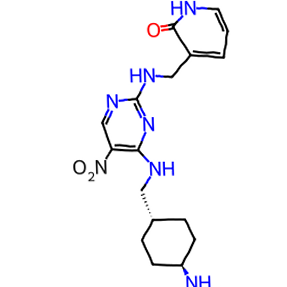 N[C@H]1CC[C@H](CNc2nc(NCc3ccc[nH]c3=O)ncc2[N+](=O)[O-])CC1